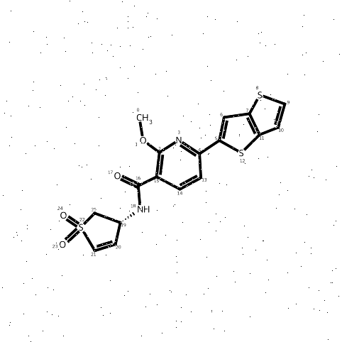 COc1nc(-c2cc3sccc3s2)ccc1C(=O)N[C@@H]1C=CS(=O)(=O)C1